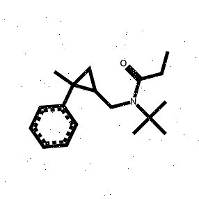 CCC(=O)N(CC1CC1(C)c1ccccc1)C(C)(C)C